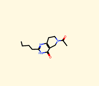 CCCCc1nc2c(c(=O)[nH]1)CN(C(C)=O)CC2